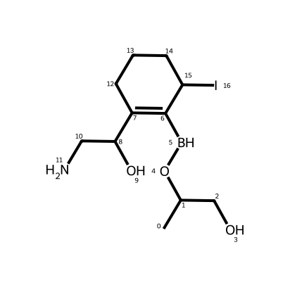 CC(CO)OBC1=C(C(O)CN)CCCC1I